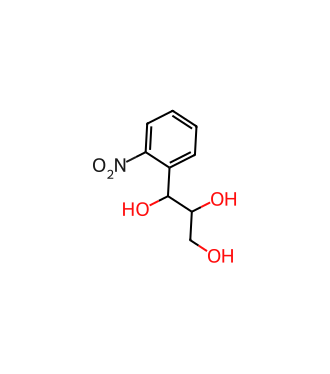 O=[N+]([O-])c1ccccc1C(O)C(O)CO